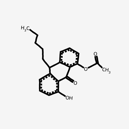 CCCCCC1c2cccc(O)c2C(=O)c2c(OC(C)=O)cccc21